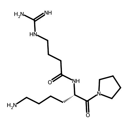 N=C(N)NCCCC(=O)N[C@@H](CCCCN)C(=O)N1CCCC1